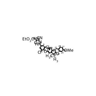 CCOC(=O)NC(=O)C(C#N)=NNc1cc(Cl)c(Oc2cc3c(nn2)N(Cc2ccc(OC)cc2)C(=O)C3(C)C)c(Cl)c1